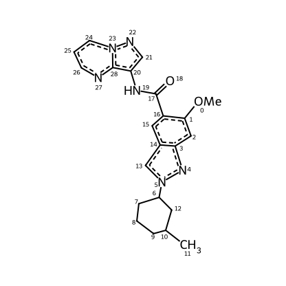 COc1cc2nn(C3CCCC(C)C3)cc2cc1C(=O)Nc1cnn2cccnc12